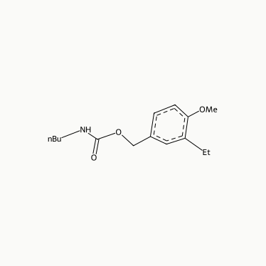 CCCCNC(=O)OCc1ccc(OC)c(CC)c1